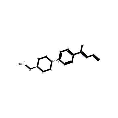 C=C/C=C(\C)c1ccc([C@H]2CC[C@H](CC(=O)O)CC2)cc1